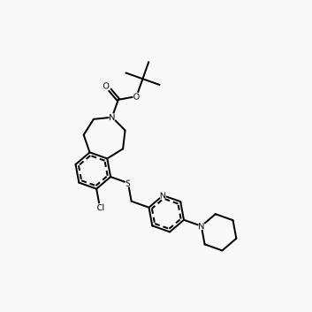 CC(C)(C)OC(=O)N1CCc2ccc(Cl)c(SCc3ccc(N4CCCCC4)cn3)c2CC1